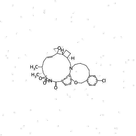 CC1C/C=C/[C@]2(CO2)[C@@H]2CC[C@H]2CN2CCCCc3cc(Cl)ccc3COc3ccc(cc32)C(=O)NS(=O)(=O)[C@@H]1C